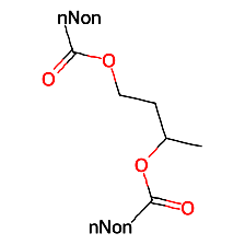 CCCCCCCCCC(=O)OCCC(C)OC(=O)CCCCCCCCC